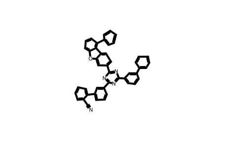 N#Cc1ccccc1-c1cccc(-c2nc(-c3cccc(-c4ccccc4)c3)nc(-c3ccc4c(c3)oc3cccc(-c5ccccc5)c34)n2)c1